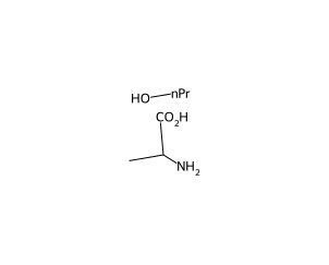 CC(N)C(=O)O.CCCO